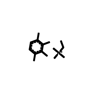 CC[N+](C)(C)C.Cc1ccc(C)c(C)c1C